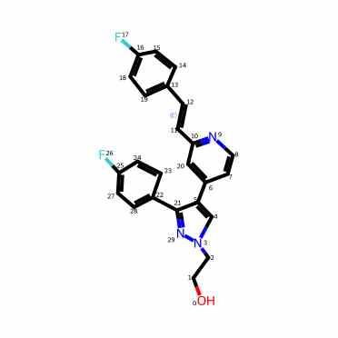 OCCn1cc(-c2ccnc(/C=C/c3ccc(F)cc3)c2)c(-c2ccc(F)cc2)n1